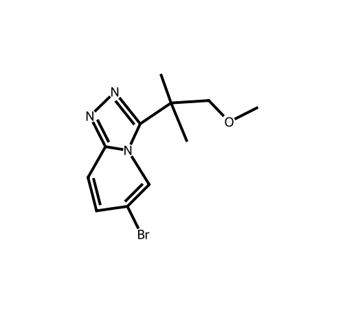 COCC(C)(C)c1nnc2ccc(Br)cn12